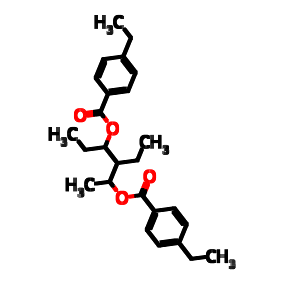 CCc1ccc(C(=O)OC(C)C(CC)C(CC)OC(=O)c2ccc(CC)cc2)cc1